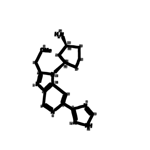 COCc1nc2cnc(-c3nc[nH]n3)cc2n1[C@@H]1CCC[C@H](N)C1